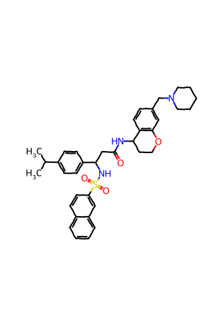 CC(C)c1ccc(C(CC(=O)NC2CCOc3cc(CN4CCCCC4)ccc32)NS(=O)(=O)c2ccc3ccccc3c2)cc1